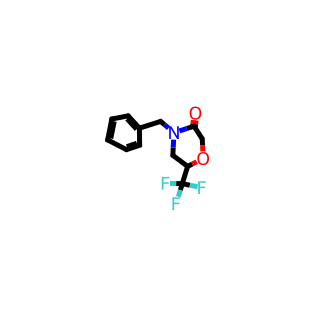 O=C1COC(C(F)(F)F)CN1Cc1ccccc1